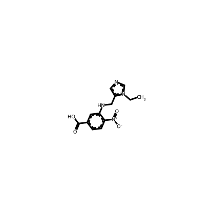 CCn1cncc1CNc1cc(C(=O)O)ccc1[N+](=O)[O-]